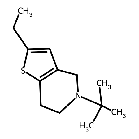 CCc1cc2c(s1)CCN(C(C)(C)C)C2